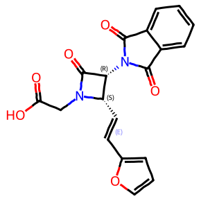 O=C(O)CN1C(=O)[C@H](N2C(=O)c3ccccc3C2=O)[C@@H]1/C=C/c1ccco1